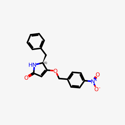 O=C1C=C(OCc2ccc([N+](=O)[O-])cc2)[C@H](Cc2ccccc2)N1